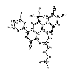 C[C@@H]1CN(c2nc(=O)n3c4c(c(-c5cc(Cl)c(F)cc5F)c(C(F)(F)F)cc24)SC[C@@H](OCCN(C)C)C3)C[C@H](C)N1